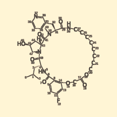 CC(C)C[C@H]1NC(=O)c2ccc(F)cc2OCC(=O)OCCCCCCCCNC(=O)[C@H](Cc2cccnc2)N(C)C(=O)[C@H]2C[C@H](O)CN2C1=O